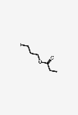 CCC(=O)OCCCI